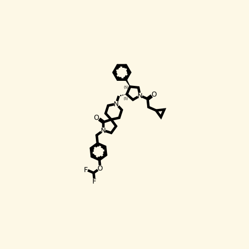 O=C(CC1CC1)N1C[C@H](CN2CCC3(CC2)CCN(Cc2ccc(OC(F)F)cc2)C3=O)[C@@H](c2ccccc2)C1